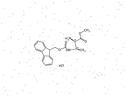 COC(=O)[C@H](N)[C@@H](C)NC(=O)OCC1c2ccccc2-c2ccccc21.Cl